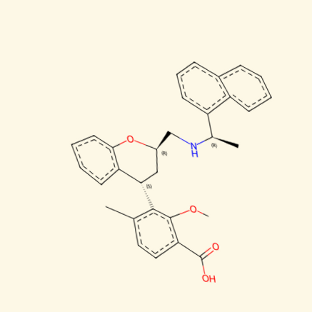 COc1c(C(=O)O)ccc(C)c1[C@H]1C[C@H](CN[C@H](C)c2cccc3ccccc23)Oc2ccccc21